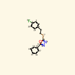 Fc1ccc(CCSc2nnc(-c3ccccc3)o2)cc1